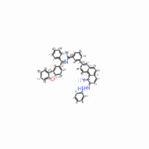 N=C1/C(=N\Nc2ccccc2)C=Cc2ccc3cc(-c4cccc(-c5nc(-c6ccc7oc8ccccc8c7c6)c6ccccc6n5)c4)ccc3c21